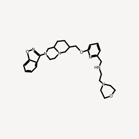 c1cc(CNCCN2CCOCC2)nc(OCC2CCC3CN(c4noc5ccccc45)CCN3C2)c1